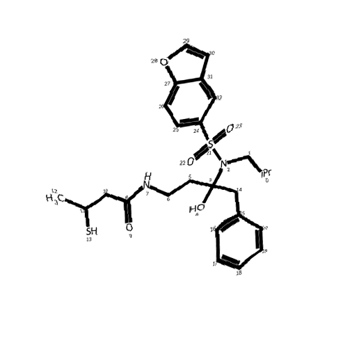 CC(C)CN(C(O)(CCNC(=O)CC(C)S)Cc1ccccc1)S(=O)(=O)c1ccc2occc2c1